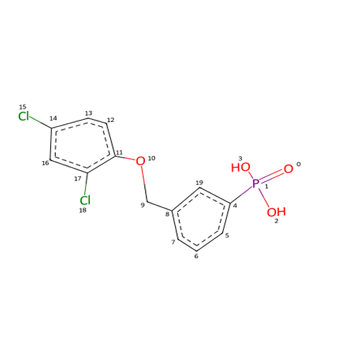 O=P(O)(O)c1cccc(COc2ccc(Cl)cc2Cl)c1